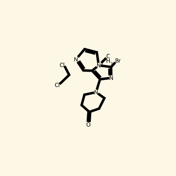 C[N+]12C=CN=CC1=C(N1CCC(=O)CC1)N=C2Br.ClCCl